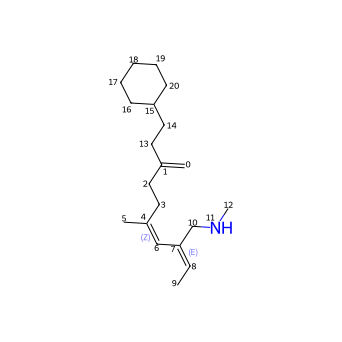 C=C(CC/C(C)=C\C(=C/C)CNC)CCC1CCCCC1